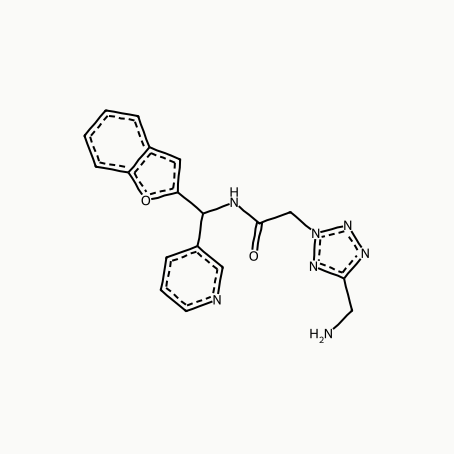 NCc1nnn(CC(=O)NC(c2cccnc2)c2cc3ccccc3o2)n1